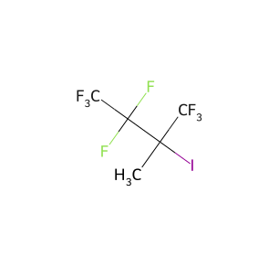 CC(I)(C(F)(F)F)C(F)(F)C(F)(F)F